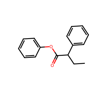 CCC(C(=O)Oc1ccccc1)c1ccccc1